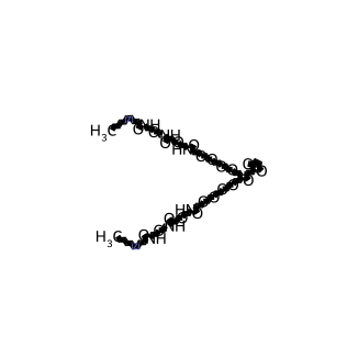 CCCCC/C=C\CCC(=O)NCCOCCNC(=O)CCOCCNC(=O)CCOCCOCCOCCOCCN(CCOCCOCCOCCOCCC(=O)NCCOCCC(=O)NCCOCCNC(=O)CC/C=C\CCCCC)C(=O)CCN1C(=O)C=CC1=O